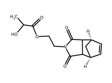 CC(O)C(=O)OCCN1C(=O)C2C(C1=O)[C@H]1C=C[C@@H]2C1